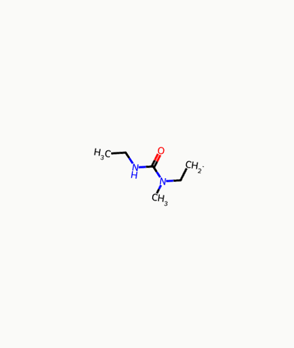 [CH2]CN(C)C(=O)NCC